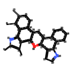 CC1=C(C)c2c(c3c(C)c(C)ccc3c3cc4c([o+]c23)c2c(c3ccccc34)N=CC=2)=N1